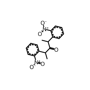 CC(C(=O)C(C)c1ccccc1[N+](=O)[O-])c1ccccc1[N+](=O)[O-]